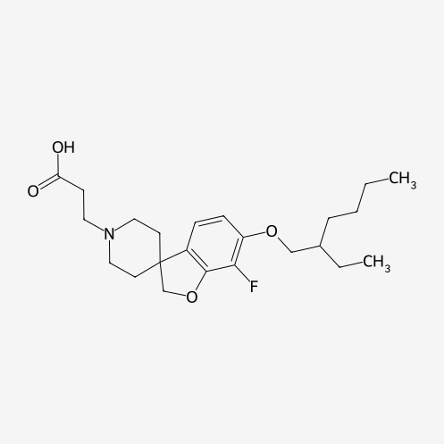 CCCCC(CC)COc1ccc2c(c1F)OCC21CCN(CCC(=O)O)CC1